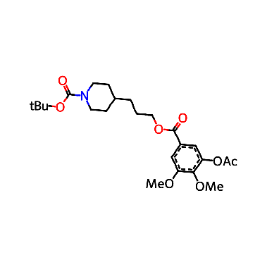 COc1cc(C(=O)OCCCC2CCN(C(=O)OC(C)(C)C)CC2)cc(OC(C)=O)c1OC